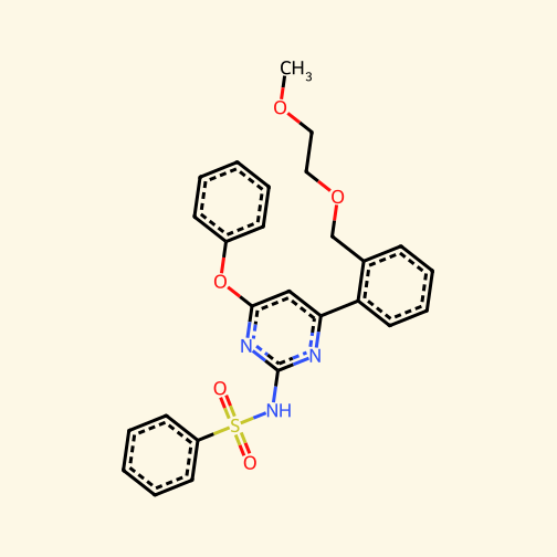 COCCOCc1ccccc1-c1cc(Oc2ccccc2)nc(NS(=O)(=O)c2ccccc2)n1